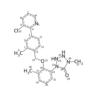 Cc1cc(-c2ncccc2Cl)ccc1COc1c(C)cccc1N1NNN(C)C1=O